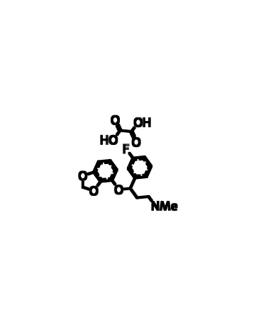 CNCCC(Oc1cccc2c1OCO2)c1cccc(F)c1.O=C(O)C(=O)O